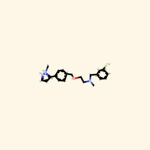 CN(CCOCc1ccc(-c2ccnn2C)cc1)Cc1cccc(F)c1